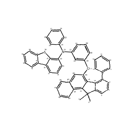 CC1(C)c2cccc(-c3ccccc3)c2-c2c(Oc3cccc(N(c4ccccc4)c4cccc5c4sc4ccccc45)c3)cc3ccccc3c21